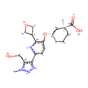 Cn1nnc(-c2ccc(O[C@H]3CCC[C@](C)(C(=O)O)C3)c(C3COC3)n2)c1CO